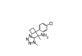 Cn1nnnc1C(C)(N)C1(c2ccc(Cl)cc2)CCC1